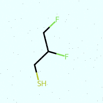 FCC(F)CS